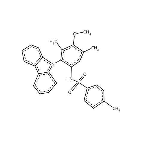 COc1c(C)cc(NS(=O)(=O)c2ccc(C)cc2)c(-n2c3ccccc3c3ccccc32)c1C